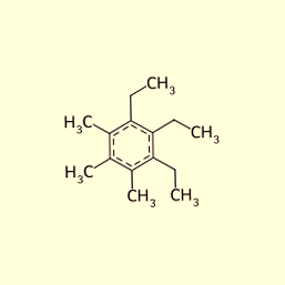 CCc1c(C)c(C)c(C)c(CC)c1CC